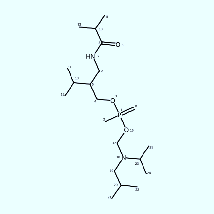 C=P(C)(OCC(CNC(=O)C(C)C)C(C)C)OCN(CC(C)C)C(C)C